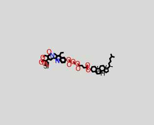 CCc1c2c(nc3ccc(OC(=O)OCOC(=O)CCC(=O)O[C@H]4CC[C@@]5(C)C(=CC[C@H]6[C@@H]7CC[C@H]([C@H](C)CCCC(C)C)[C@@]7(C)CC[C@@H]65)C4)cc13)-c1cc3c(c(=O)n1C2)COC(=O)C3(CC)O[Si](C)(C)C